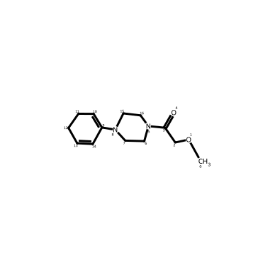 COCC(=O)N1CCN(C2=CC[CH]C=C2)CC1